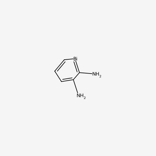 NC1=CC=[CH][Bi]=[C]1N